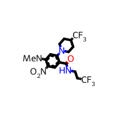 CNc1cc(N2CCC(C(F)(F)F)CC2)c(C(=O)NCCC(F)(F)F)cc1[N+](=O)[O-]